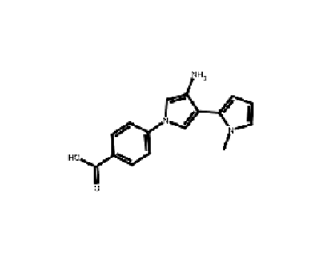 Cn1cccc1-c1cn(-c2ccc(C(=O)O)cc2)cc1N